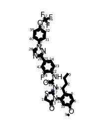 CCCCc1ccc(OC)cc1N1C(=O)CS/C1=N\C(=O)Nc1ccc(-c2ncn(-c3ccc(OC(F)(F)F)cc3)n2)cc1F